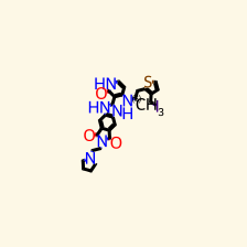 C[C@@H](Cc1sccc1CI)Nc1cc[nH]c(=O)c1-c1nc2cc3c(cc2[nH]1)C(=O)N(CCN1CCCC1)C3=O